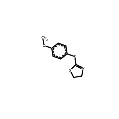 COc1ccc(SC2=NCCS2)cc1